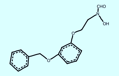 O=CN(O)CCOc1cccc(OCc2ccccc2)c1